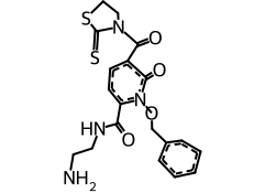 NCCNC(=O)c1ccc(C(=O)N2CCSC2=S)c(=O)n1OCc1ccccc1